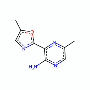 Cc1cnc(N)c(-c2ncc(C)o2)n1